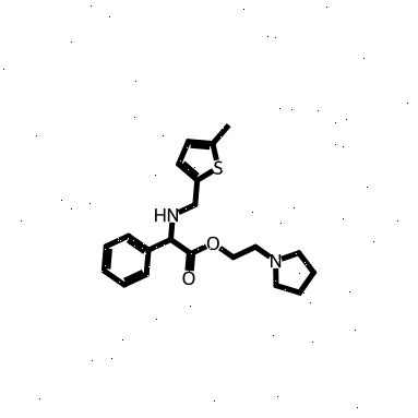 Cc1ccc(CNC(C(=O)OCCN2CCCC2)c2ccccc2)s1